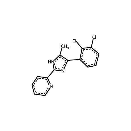 Cc1[nH]c(-c2ccccn2)nc1-c1cccc(Cl)c1Cl